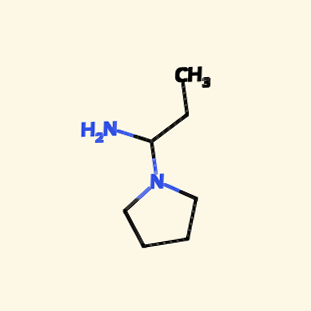 CCC(N)N1CCCC1